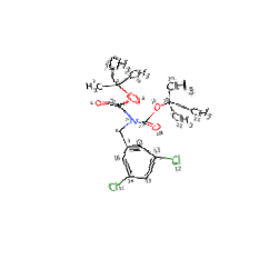 CC(C)(C)OC(=O)N(Cc1cc(Cl)cc(Cl)c1)C(=O)OC(C)(C)C